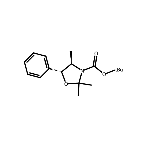 C[C@@H]1[C@@H](c2ccccc2)OC(C)(C)N1C(=O)OC(C)(C)C